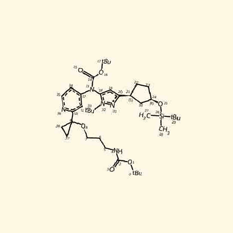 CC(C)(C)OC(=O)NCCCOC1(c2cc(N(C(=O)OC(C)(C)C)c3cc([C@H]4CC[C@@H](O[Si](C)(C)C(C)(C)C)C4)nn3C(C)(C)C)ccn2)CC1